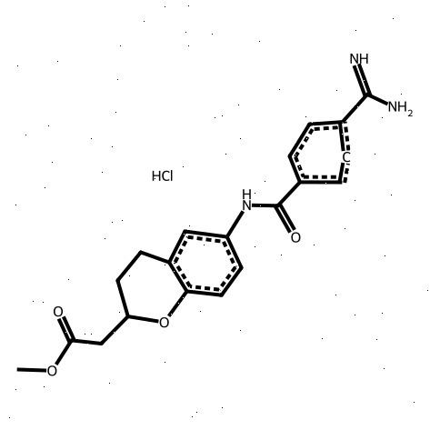 COC(=O)CC1CCc2cc(NC(=O)c3ccc(C(=N)N)cc3)ccc2O1.Cl